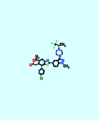 Cc1cc2nc(-c3ccc4c(c3)c(N3CCN(C(C)C(F)(F)F)CC3)nn4C)sc2c(-c2ccc(Cl)cc2)c1CC(=O)O